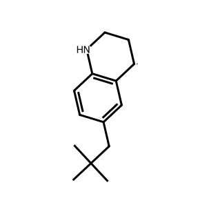 CC(C)(C)Cc1ccc2c(c1)[CH]CCN2